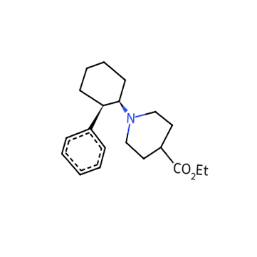 CCOC(=O)C1CCN([C@@H]2CCCC[C@@H]2c2ccccc2)CC1